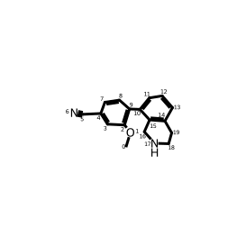 COc1cc(C#N)ccc1-c1cccc2c1CNCC2